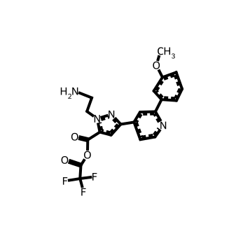 COc1cccc(-c2cc(-c3cc(C(=O)OC(=O)C(F)(F)F)n(CCN)n3)ccn2)c1